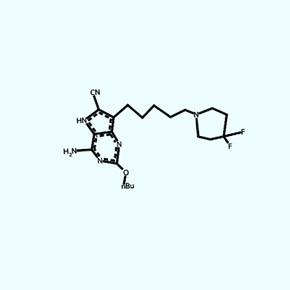 CCCCOc1nc(N)c2[nH]c(C#N)c(CCCCCN3CCC(F)(F)CC3)c2n1